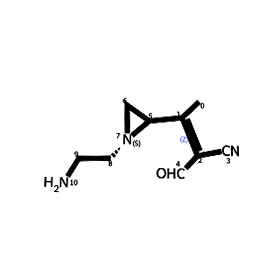 C/C(=C(\C#N)C=O)C1C[N@@]1CCN